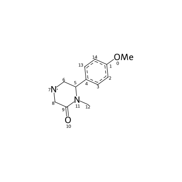 COc1ccc(C2C[N]CC(=O)N2C)cc1